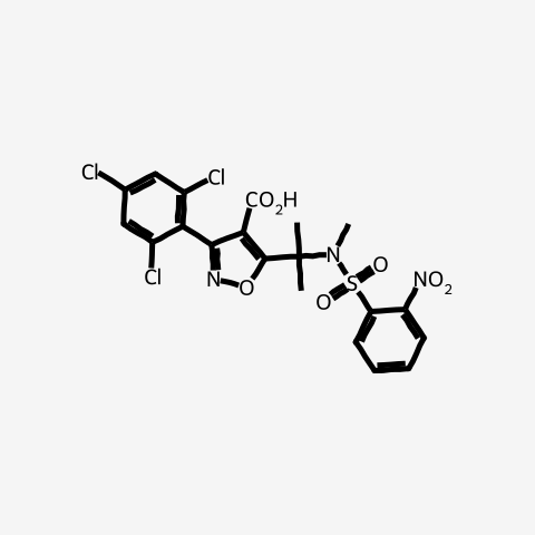 CN(C(C)(C)c1onc(-c2c(Cl)cc(Cl)cc2Cl)c1C(=O)O)S(=O)(=O)c1ccccc1[N+](=O)[O-]